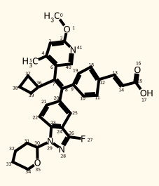 COc1cc(C)c(/C(=C(\c2ccc(C=CC(=O)O)cc2)c2ccc3c(c2)c(F)nn3C2CCCCO2)C2CCC2)cn1